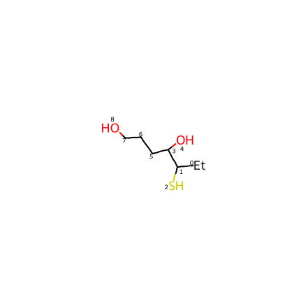 [CH2]CC(S)C(O)CCCO